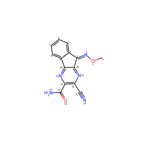 CON=C1c2ccccc2-c2nc(C(N)=O)c(C#N)nc21